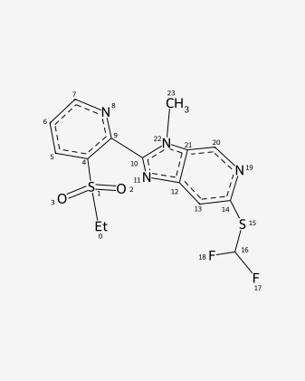 CCS(=O)(=O)c1cccnc1-c1nc2cc(SC(F)F)ncc2n1C